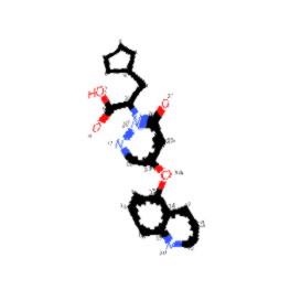 O=C(O)C(CC1CCCC1)n1ncc(Oc2cccc3ncccc23)cc1=O